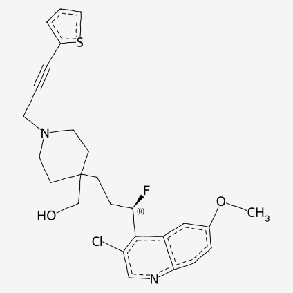 COc1ccc2ncc(Cl)c([C@H](F)CCC3(CO)CCN(CC#Cc4cccs4)CC3)c2c1